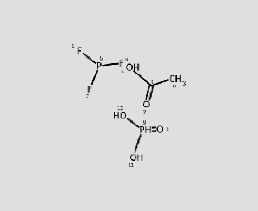 CC(=O)O.FP(F)F.O=[PH](O)O